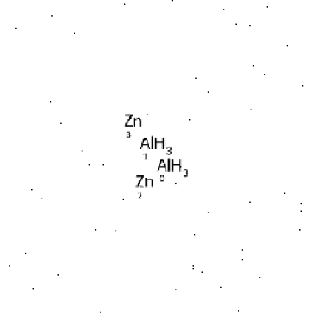 [AlH3].[AlH3].[Zn].[Zn]